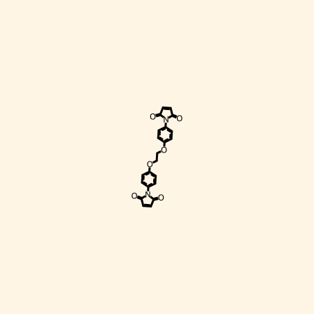 O=C1C=CC(=O)N1c1ccc(OCCOc2ccc(N3C(=O)C=CC3=O)cc2)cc1